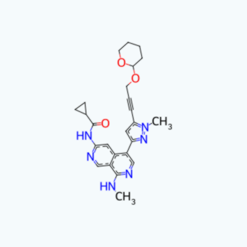 CNc1ncc(-c2cc(C#CCOC3CCCCO3)n(C)n2)c2cc(NC(=O)C3CC3)ncc12